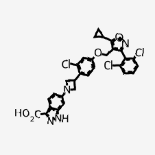 O=C(O)c1n[nH]c2cc(N3CC(c4ccc(OCc5c(-c6c(Cl)cccc6Cl)noc5C5CC5)cc4Cl)C3)ccc12